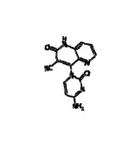 N#Cc1c(-n2ccc(N)nc2=O)c2ncccc2[nH]c1=O